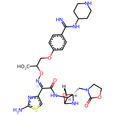 N=C(NC1CCNCC1)c1ccc(OCC(O/N=C(\C(=O)N[C@H]2C3N[C@]2(CN2CCOC2=O)O3)c2csc(N)n2)C(=O)O)cc1